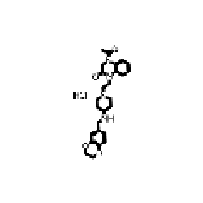 CC(=O)N1CC(=O)N(CCN2CCC(NCc3ccc4c(c3)OCCO4)CC2)c2ccccc21.Cl